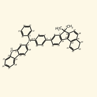 CC1(C)c2cc(-c3ccc(N(c4ccccc4)c4ccc5c(c4)oc4ccccc45)cc3)ccc2-c2c1ccc1c2C=CCC1